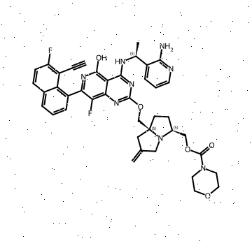 C#Cc1c(F)ccc2cccc(-c3nc(O)c4c(N[C@@H](C)c5cccnc5N)nc(OC[C@@]56CC[C@@H](COC(=O)N7CCOCC7)N5CC(=C)C6)nc4c3F)c12